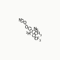 [2H]C1C(c2ccc(C(F)(F)F)cc2)=C(c2ncsc2C)c2ccc(OCCOc3ccncc3)cc21